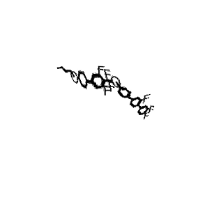 CCCCOC1CCC(c2cc(F)c(C(F)(F)Oc3ccc(-c4ccc(-c5ccc(F)c(F)c5)c(F)c4)cc3)c(F)c2)CC1